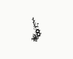 CCCCOCC(CF)Oc1ccc2c(c1)N[C@H](OS(=O)(=O)C(F)(F)F)C=C2